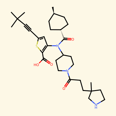 CC(C)(C)C#Cc1cc(N(C(=O)[C@H]2CC[C@H](C)CC2)C2CCN(C(=O)CCC3(C)CCNC3)CC2)c(C(=O)O)s1